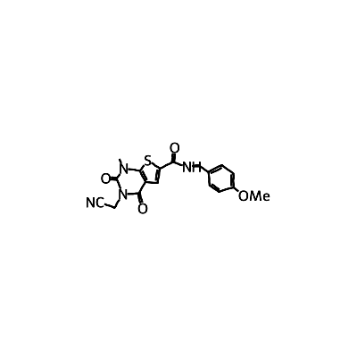 COc1ccc(CNC(=O)c2cc3c(=O)n(CC#N)c(=O)n(C)c3s2)cc1